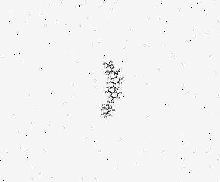 CN(C(=O)OC(C)(C)C)c1ccc(-c2ccc3cc(OCC(CF)O[Si](C)(C)C(C)(C)C)ccc3n2)cc1